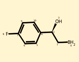 BC[C@H](O)c1ccc(F)cc1